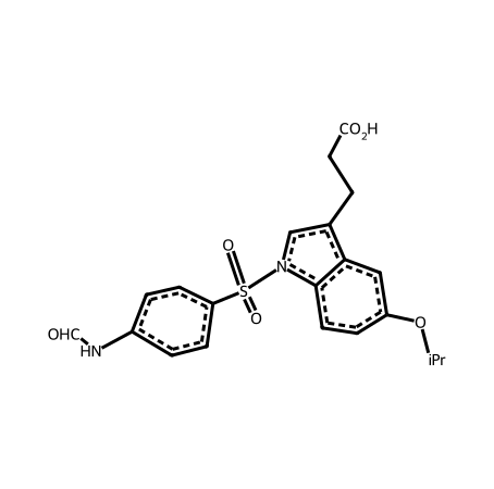 CC(C)Oc1ccc2c(c1)c(CCC(=O)O)cn2S(=O)(=O)c1ccc(NC=O)cc1